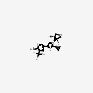 Nc1ncc(-c2cn([C@@H]3[C@@H]4CNC[C@@H]43)c(C3CC3)n2)cc1C(F)(F)F